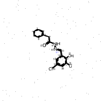 O=C(Cc1ccccc1)N/N=C/c1cc(Cl)cc(Cl)c1O